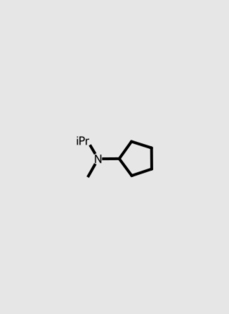 CC(C)N(C)C1CCCC1